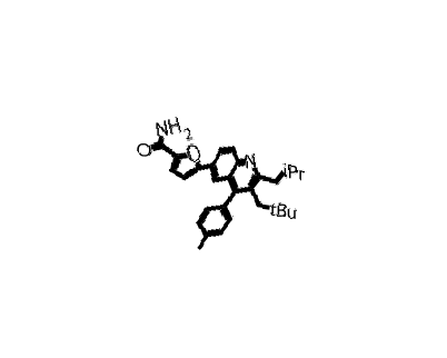 Cc1ccc(-c2c(CC(C)(C)C)c(CC(C)C)nc3ccc(-c4ccc(C(N)=O)o4)cc23)cc1